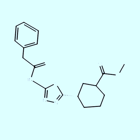 COC(=O)C1CCC[C@H](c2nnc(NC(=O)Cc3ccccc3)s2)C1